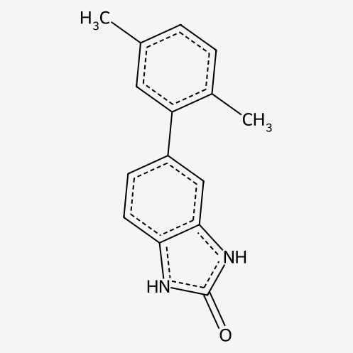 Cc1ccc(C)c(-c2ccc3[nH]c(=O)[nH]c3c2)c1